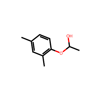 Cc1ccc(OC(C)O)c(C)c1